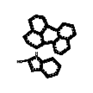 Oc1nc2ccccc2[nH]1.c1cc2cccc3c4cccc5cccc(c(c1)c23)c54